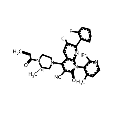 C=CC(=O)N1CCN(c2c(C#N)c(=O)n(-c3c(C)ccnc3C(C)C)c3nc(-c4ccccc4F)c(Cl)cc23)C[C@@H]1C